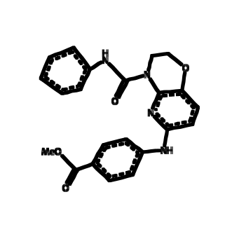 COC(=O)c1ccc(Nc2ccc3c(n2)N(C(=O)Nc2ccccc2)CCO3)cc1